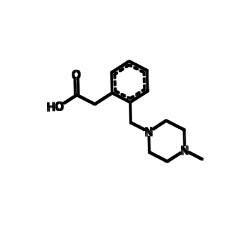 CN1CCN(Cc2ccccc2CC(=O)O)CC1